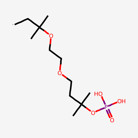 [CH2]CC(C)(C)OCCOCCC(C)(C)OP(=O)(O)O